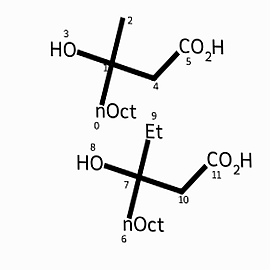 CCCCCCCCC(C)(O)CC(=O)O.CCCCCCCCC(O)(CC)CC(=O)O